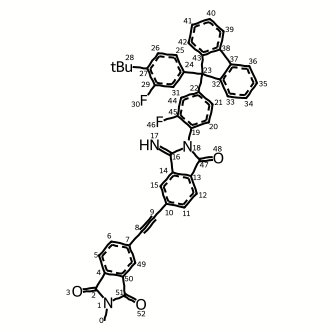 CN1C(=O)c2ccc(C#Cc3ccc4c(c3)C(=N)N(c3ccc(C5(c6ccc(C(C)(C)C)c(F)c6)c6ccccc6-c6ccccc65)cc3F)C4=O)cc2C1=O